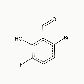 O=Cc1c(Br)ccc(F)c1O